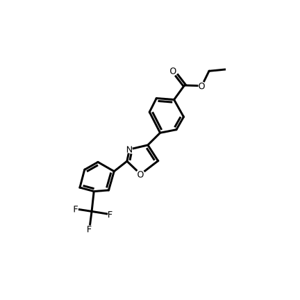 CCOC(=O)c1ccc(-c2coc(-c3cccc(C(F)(F)F)c3)n2)cc1